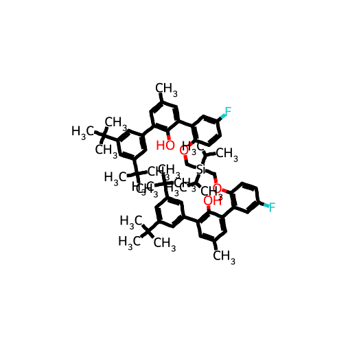 Cc1cc(-c2cc(C(C)(C)C)cc(C(C)(C)C)c2)c(O)c(-c2cc(F)ccc2OC[Si](COc2ccc(F)cc2-c2cc(C)cc(-c3cc(C(C)(C)C)cc(C(C)(C)C)c3)c2O)(C(C)C)C(C)C)c1